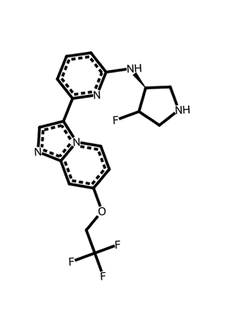 FC1CNC[C@@H]1Nc1cccc(-c2cnc3cc(OCC(F)(F)F)ccn23)n1